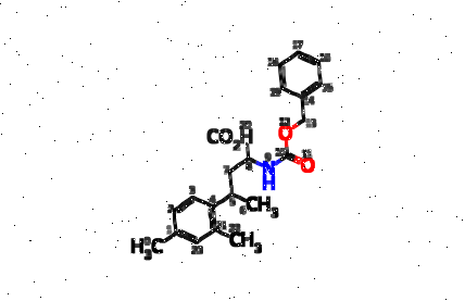 Cc1ccc(C(C)CC(NC(=O)OCc2ccccc2)C(=O)O)c(C)c1